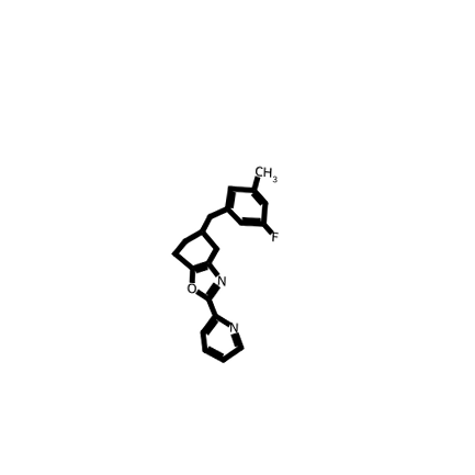 Cc1cc(F)cc(CC2CCc3oc(-c4ccccn4)nc3C2)c1